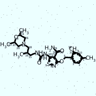 Cc1ccc(COc2nsc(NC(=O)NCC(C)CN3CC(C)OC(C)C3)c2C(N)=O)c(C)c1